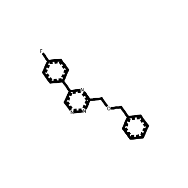 Fc1ccc(-c2cnnc(COCc3ccccc3)n2)cc1